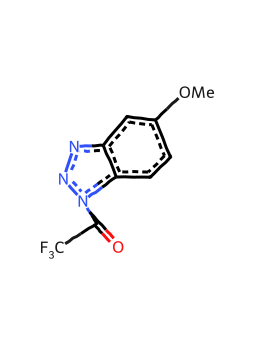 COc1ccc2c(c1)nnn2C(=O)C(F)(F)F